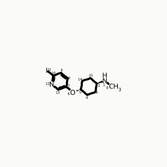 CN[C@H]1CC[C@H](Oc2ccc(I)nc2)CC1